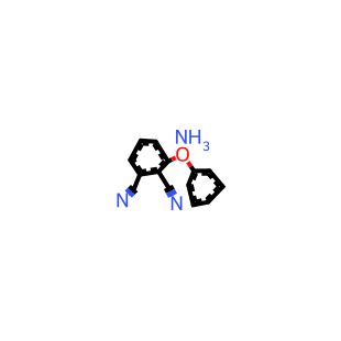 N.N#Cc1cccc(Oc2ccccc2)c1C#N